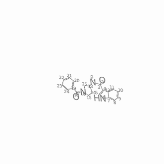 CN(C(=O)c1c[nH]c2ccccc12)C1CCN(C(=O)c2ccccc2)C1